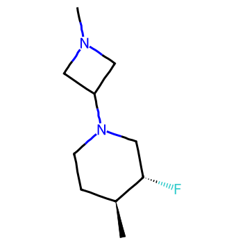 C[C@H]1CCN(C2CN(C)C2)C[C@@H]1F